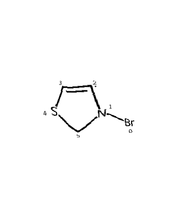 BrN1[C]=CSC1